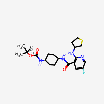 CC(C)(C)OC(=O)N[C@H]1CC[C@@H](NC(=O)c2cc(F)cnc2NC2CCSC2)CC1